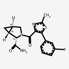 Cc1nc(C(=O)N2C[C@@H]3C[C@H]3[C@H]2C(N)=O)c(-c2cccc(F)c2)s1